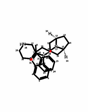 Cc1nc2ccccc2n1[C@H]1C[C@H]2CC[C@@H](C1)N2CCC1(c2ccccc2)CNCCO1